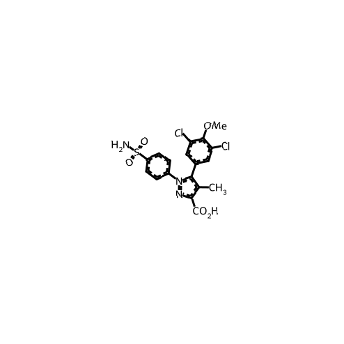 COc1c(Cl)cc(-c2c(C)c(C(=O)O)nn2-c2ccc(S(N)(=O)=O)cc2)cc1Cl